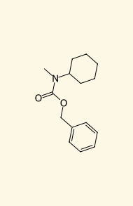 CN(C(=O)OCc1ccccc1)C1CCCCC1